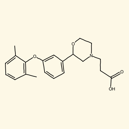 Cc1cccc(C)c1Oc1cccc(C2CN(CCC(=O)O)CCO2)c1